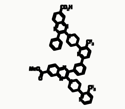 COC(=O)c1ccc2nc(-c3cccc(-c4ccc(C(F)(F)F)c(C5CCN(c6nc7cc(C(=O)O)ccc7nc6-c6ccccc6)CC5)n4)c3)c(N3CCC(c4ncccc4C(F)(F)F)CC3)nc2c1